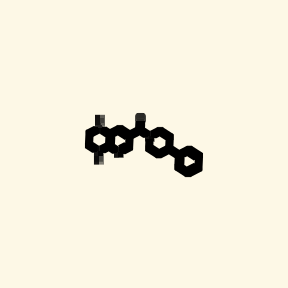 O=C(c1cnc2c(c1)NCCN2)N1CCC(c2ccccc2)CC1